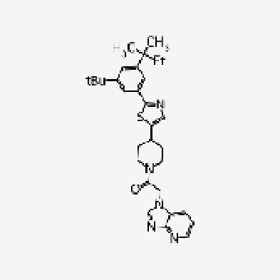 CCC(C)(C)c1cc(-c2ncc(C3CCN(C(=O)Cn4cnc5ncccc54)CC3)s2)cc(C(C)(C)C)c1